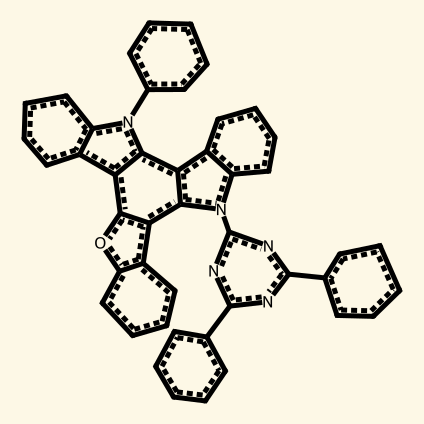 c1ccc(-c2nc(-c3ccccc3)nc(-n3c4ccccc4c4c5c(c6ccccc6n5-c5ccccc5)c5oc6ccccc6c5c43)n2)cc1